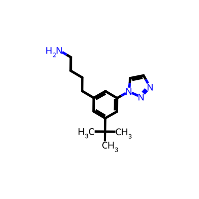 CC(C)(C)c1cc(CCCCN)cc(-n2ccnn2)c1